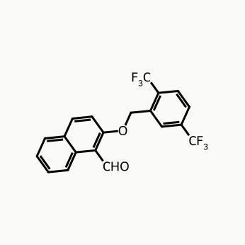 O=Cc1c(OCc2cc(C(F)(F)F)ccc2C(F)(F)F)ccc2ccccc12